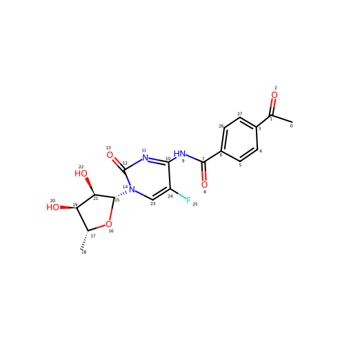 CC(=O)c1ccc(C(=O)Nc2nc(=O)n([C@@H]3O[C@H](C)[C@@H](O)[C@H]3O)cc2F)cc1